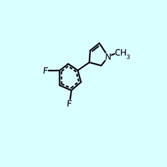 CN1C=CC(c2cc(F)cc(F)c2)C1